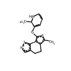 Cc1sc(OC2=CC=CNC2C)c2c1CCc1cnsc1-2